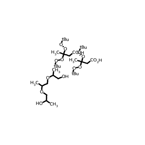 CC(C)(C)OOC(C)(CC(=O)O)OOC(C)(C)C.CC(C)(C)OOC(C)(CC(=O)O)OOC(C)(C)C.CC(O)COC(C)COC(C)CO